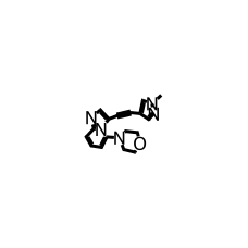 Cn1cc(C#Cc2cnc3cccc(N4CCOCC4)n23)cn1